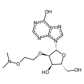 CN(C)OCCO[C@@H]1[C@H](O)[C@@H](CO)O[C@H]1n1cnc2c(O)ncnc21